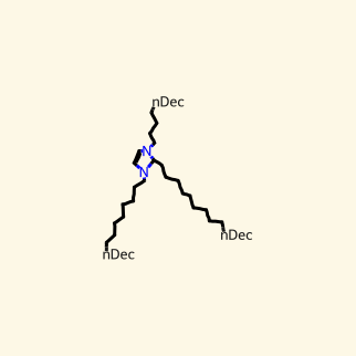 CCCCCCCCCCCCCCCCCCCC1N(CCCCCCCCCCCCCC)C=CN1CCCCCCCCCCCCCCCCCC